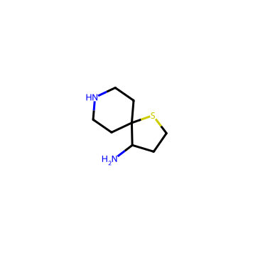 NC1CCSC12CCNCC2